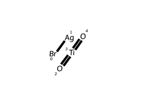 [Br][Ag].[O]=[Ti]=[O]